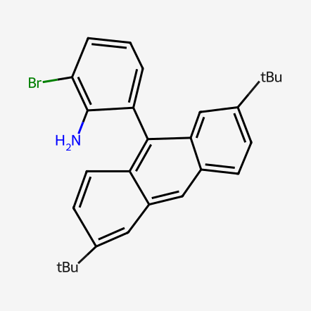 CC(C)(C)c1ccc2c(-c3cccc(Br)c3N)c3cc(C(C)(C)C)ccc3cc2c1